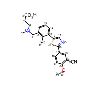 CCc1c(CN(C)CCC(=O)O)cccc1-c1cnc(-c2ccc(OC(C)C)c(C#N)c2)s1